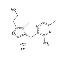 Cc1cnc(C[n+]2csc(CCO)c2C)c(N)n1.Cl.[Cl-]